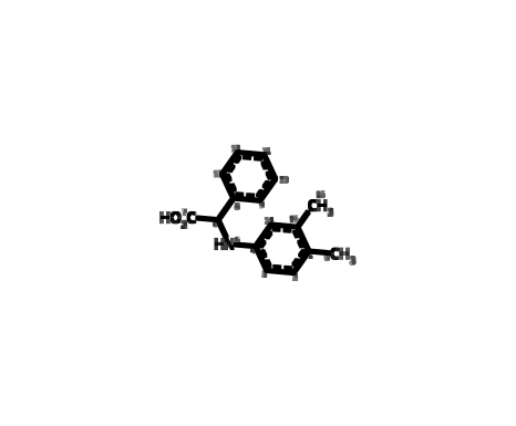 Cc1ccc(NC(C(=O)O)c2ccccc2)cc1C